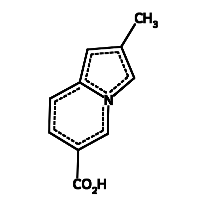 Cc1cc2ccc(C(=O)O)cn2c1